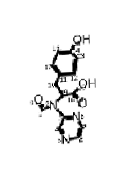 O=CN(c1cnccn1)C(Cc1ccc(O)cc1)C(=O)O